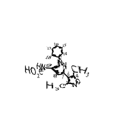 Cc1noc(C)c1-c1cc(NC(=O)O)n(-c2ccccc2)n1